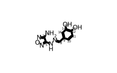 Nc1nonc1N/N=C/c1ccc(O)c(O)c1